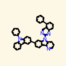 c1ccc(-c2cccc3nc(-n4c5cc(-c6ccc7c(c6)c6ccccc6n7-c6ccccc6)ccc5c5ncccc54)ncc23)cc1